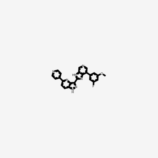 COc1cc(F)cc(-c2cncc3[nH]c(-c4n[nH]c5ccc(-c6ccncc6)nc45)nc23)c1